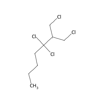 CCCCC(Cl)(Cl)[C](CCl)CCl